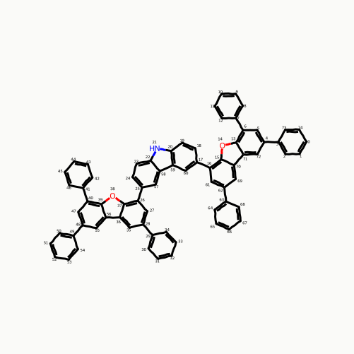 c1ccc(-c2cc(-c3ccccc3)c3oc4c(-c5ccc6[nH]c7ccc(-c8cc(-c9ccccc9)cc9c8oc8c(-c%10ccccc%10)cc(-c%10ccccc%10)cc89)cc7c6c5)cc(-c5ccccc5)cc4c3c2)cc1